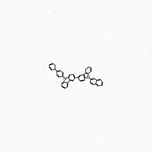 C1=CCC(c2ccc(-n3c4ccccc4c4cc(-c5ccc6c(c5)c5c(n6-c6ccc7ccccc7c6)C=CCC5)ccc43)cc2)C=C1